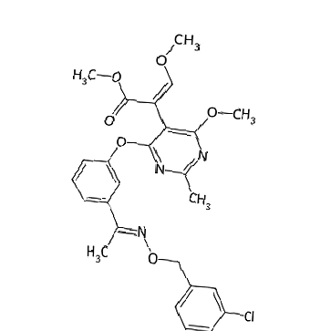 COC=C(C(=O)OC)c1c(OC)nc(C)nc1Oc1cccc(C(C)=NOCc2cccc(Cl)c2)c1